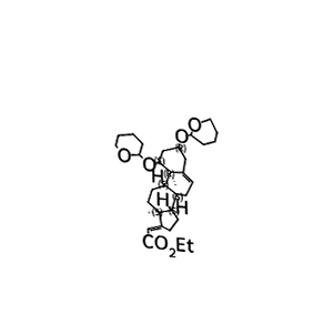 CCOC(=O)C=C1CC[C@H]2[C@@H]3CC=C4C[C@@H](OC5CCCCO5)C[C@H](OC5CCCCO5)[C@]4(C)[C@H]3CC[C@]12C